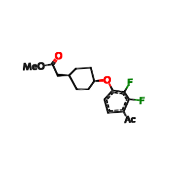 COC(=O)C[C@H]1CC[C@@H](Oc2ccc(C(C)=O)c(F)c2F)CC1